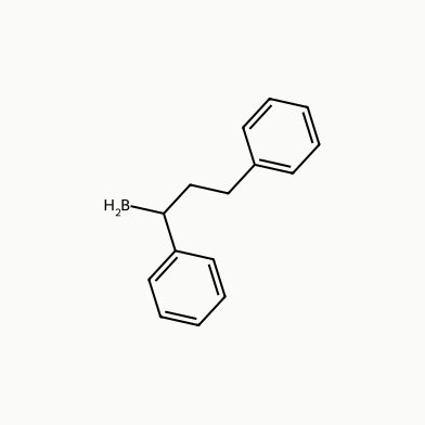 BC(CCc1ccccc1)c1ccccc1